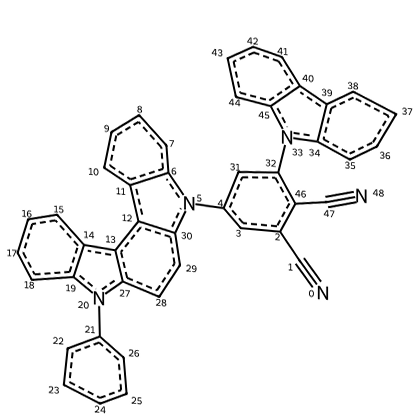 N#Cc1cc(-n2c3ccccc3c3c4c5ccccc5n(-c5ccccc5)c4ccc32)cc(-n2c3ccccc3c3ccccc32)c1C#N